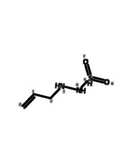 C=CCNN[SH](=O)=O